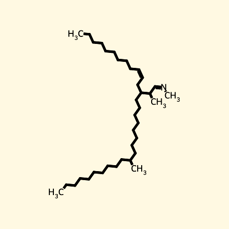 CCCCCCCCC/C=C\CC(CCCCCCCCC(C)CCCCCCCCCC)C(C)/C=N\C